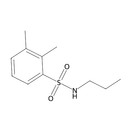 CCCNS(=O)(=O)c1cccc(C)c1C